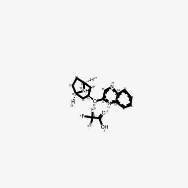 O=C(O)C(F)(F)F.c1ccc2nc(O[C@H]3C[C@H]4CC[C@@H](C3)N4)cnc2c1